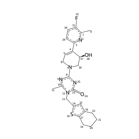 Cc1nc(C2=CCN(c3nc(C)n(Cc4cc5c(s4)CCCC5)c(=O)n3)C[C@@H]2O)ccc1F